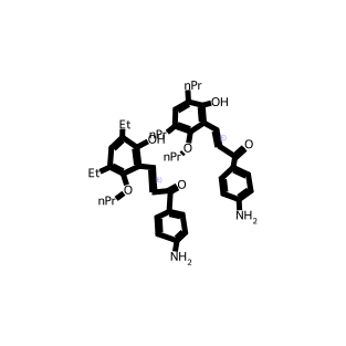 CCCOc1c(CC)cc(CC)c(O)c1/C=C/C(=O)c1ccc(N)cc1.CCCOc1c(CCC)cc(CCC)c(O)c1/C=C/C(=O)c1ccc(N)cc1